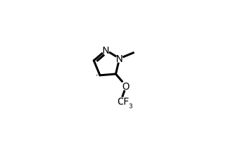 CN1N=C[CH]C1OC(F)(F)F